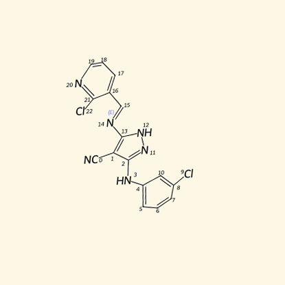 N#Cc1c(Nc2cccc(Cl)c2)n[nH]c1/N=C/c1cccnc1Cl